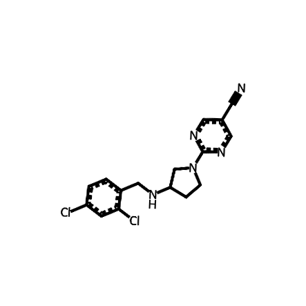 N#Cc1cnc(N2CCC(NCc3ccc(Cl)cc3Cl)C2)nc1